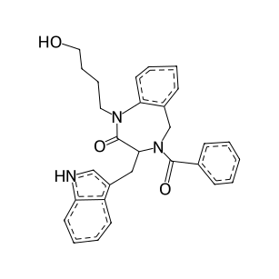 O=C1C(Cc2c[nH]c3ccccc23)N(C(=O)c2ccccc2)Cc2ccccc2N1CCCCO